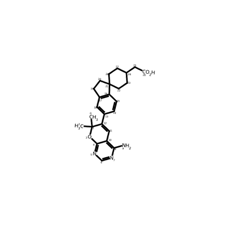 CC1(C)Oc2ncnc(N)c2C=C1c1ccc2c(c1)CCC21CCC(CC(=O)O)CC1